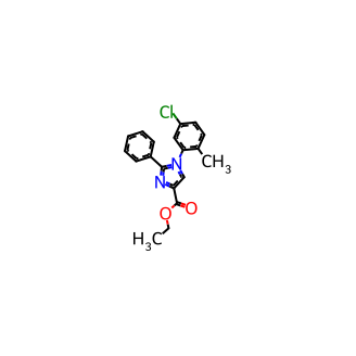 CCOC(=O)c1cn(-c2cc(Cl)ccc2C)c(-c2ccccc2)n1